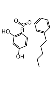 CCCCCc1ccccc1.O=[SH](=O)c1ccc(O)cc1O